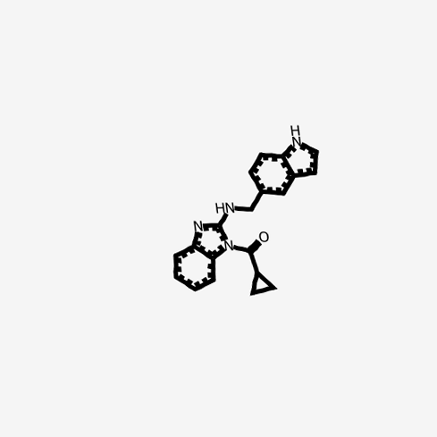 O=C(C1CC1)n1c(NCc2ccc3[nH]ccc3c2)nc2ccccc21